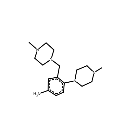 CN1CCN(Cc2cc(N)ccc2N2CCN(C)CC2)CC1